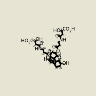 O=C(C[C@H](O)C(=O)O)NCCC(=O)OC1=CC[C@@]2(OC(=O)CCNC(=O)C[C@H](O)C(=O)O)[C@@H]3CCC[C@@]24c2c(ccc(O)c2O[C@@H]14)C3